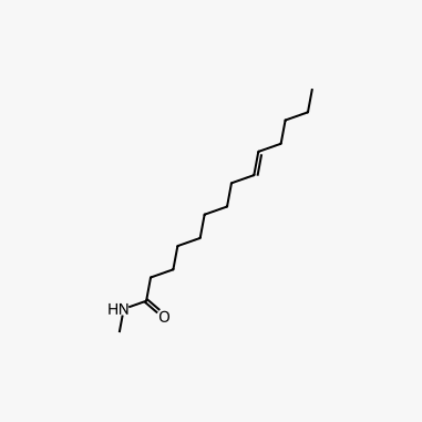 CCCCC=CCCCCCCCC(=O)NC